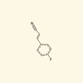 N#CC=Cc1ccc(F)cc1